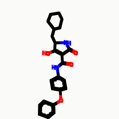 O=C(Nc1ccc(Oc2ccccc2)cc1)C1=C(O)C(CC2CCCCC2)NC1=O